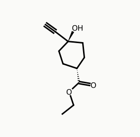 C#C[C@]1(O)CC[C@H](C(=O)OCC)CC1